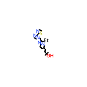 CCc1c(Cn2ccnc2-c2nccs2)nc2ccc(C=CC(C)(C)O)cn12